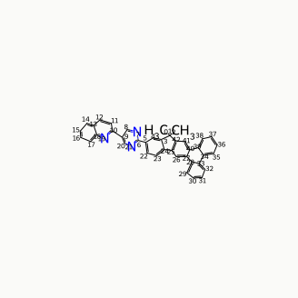 CC1(C)c2cc(-c3ncc(-c4ccc5ccccc5n4)cn3)ccc2-c2cc3c4ccccc4c4ccccc4c3cc21